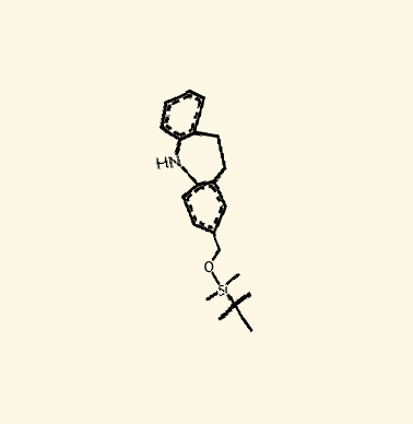 CC(C)(C)[Si](C)(C)OCc1ccc2c(c1)CCc1ccccc1N2